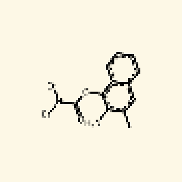 CCN(CC)C(=O)Oc1c(N)c(C)cc2ccccc12